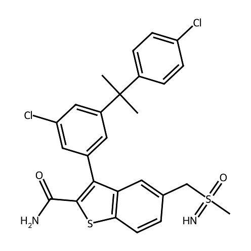 CC(C)(c1ccc(Cl)cc1)c1cc(Cl)cc(-c2c(C(N)=O)sc3ccc(CS(C)(=N)=O)cc23)c1